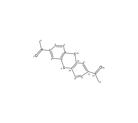 CC(=O)c1ccc2c(c1)Sc1ccc(C(C)=O)cc1S2